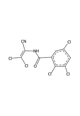 N#CC(NC(=O)c1cc(Cl)cc(Cl)c1Cl)=C(Cl)Cl